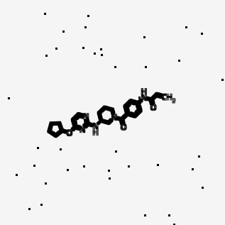 C=CC(=O)Nc1ccc(C(=O)N2CCC[C@H](Nc3nccc(OC4CCCC4)n3)C2)cc1